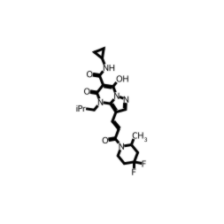 CC(C)Cn1c(=O)c(C(=O)NC2CC2)c(O)n2ncc(C=CC(=O)N3CCC(F)(F)CC3C)c12